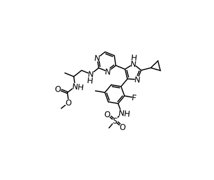 COC(=O)NC(C)CNc1nccc(-c2[nH]c(C3CC3)nc2-c2cc(C)cc(NS(C)(=O)=O)c2F)n1